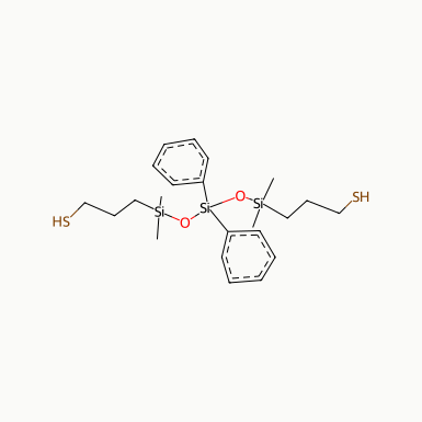 C[Si](C)(CCCS)O[Si](O[Si](C)(C)CCCS)(c1ccccc1)c1ccccc1